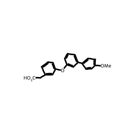 COc1ccc(-c2cccc(Oc3cccc(CC(=O)O)c3)c2)cc1